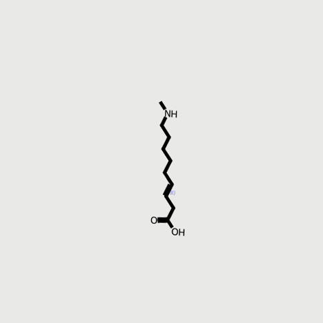 CNCCCCC/C=C/CC(=O)O